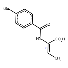 C/C=C(/NC(=O)c1ccc(C(C)(C)C)cc1)C(=O)O